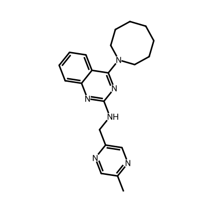 Cc1cnc(CNc2nc(N3CCCCCCC3)c3ccccc3n2)cn1